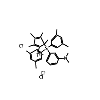 CC1=C(C)C(C)([Si](c2cc(C)cc(C)c2)(c2cc(C)cc(C)c2)c2cccc(N(C)C)c2)[C]([Ti+3])=C1C.[Cl-].[Cl-].[Cl-]